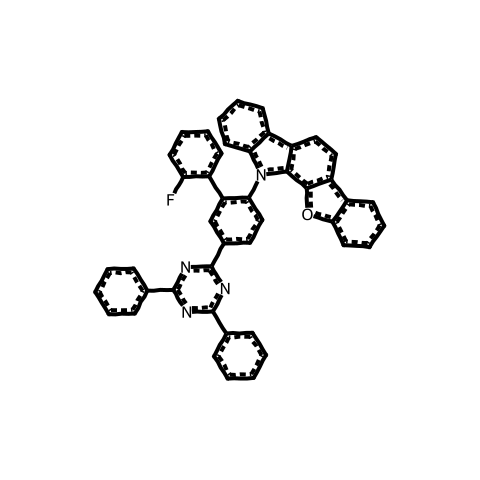 Fc1ccccc1-c1cc(-c2nc(-c3ccccc3)nc(-c3ccccc3)n2)ccc1-n1c2ccccc2c2ccc3c4ccccc4oc3c21